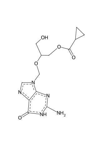 Nc1nc2c(ncn2COC(CO)COC(=O)C2CC2)c(=O)[nH]1